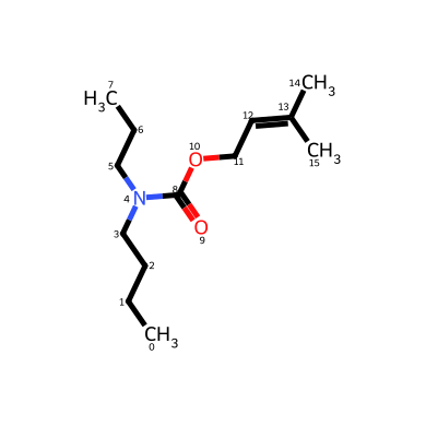 CCCCN(CCC)C(=O)OCC=C(C)C